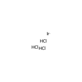 Cl.Cl.Cl.[Ir]